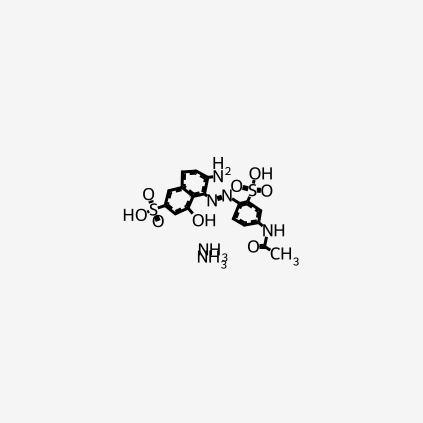 CC(=O)Nc1ccc(/N=N/c2c(N)ccc3cc(S(=O)(=O)O)cc(O)c23)c(S(=O)(=O)O)c1.N.N